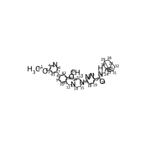 CCOc1cncc(-c2ccc(CN3CCN(c4ccc(C(=O)NCC56CC7CC(CC(C7)C5)C6)nn4)CC3)c(OC)c2)c1